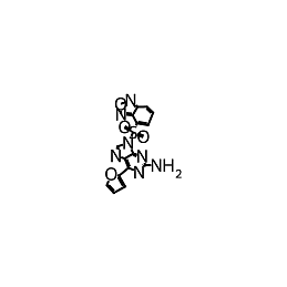 Nc1nc(-c2ccco2)c2ncn(S(=O)(=O)c3cccc4nonc34)c2n1